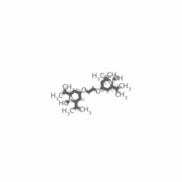 CC(C)C1CC(OCCOC2CC(C(C)C)N(O)C(C)(C)C2)CC(C(C)C)N1O